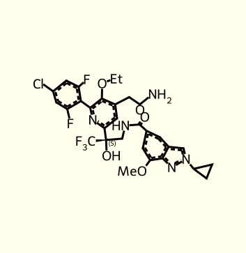 CCOc1c(CC(N)=O)cc([C@@](O)(CNC(=O)c2cc(OC)c3nn(C4CC4)cc3c2)C(F)(F)F)nc1-c1c(F)cc(Cl)cc1F